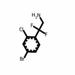 NCC(F)(F)c1ccc(Br)cc1Cl